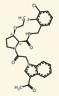 CCO[C@@H]1CCN(C(=O)Cn2cc(C(C)=O)c3ccccc32)[C@@H]1C(=O)NCc1cccc(Cl)c1F